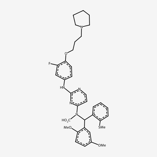 COc1ccc(OC)c(C(c2ccccc2SC)N(C(=O)O)c2ccnc(Nc3ccc(OCCCN4CCCCC4)c(F)c3)n2)c1